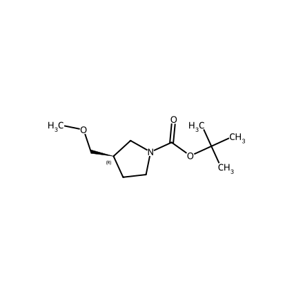 COC[C@@H]1CCN(C(=O)OC(C)(C)C)C1